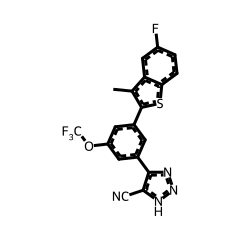 Cc1c(-c2cc(OC(F)(F)F)cc(-c3nn[nH]c3C#N)c2)sc2ccc(F)cc12